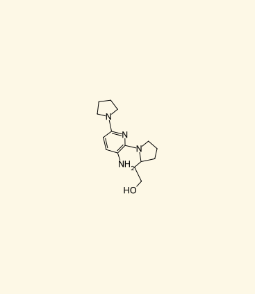 Nc1ccc(N2CCCC2)nc1N1CCCC1CCO